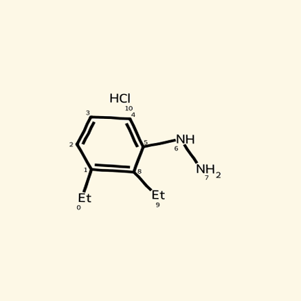 CCc1cccc(NN)c1CC.Cl